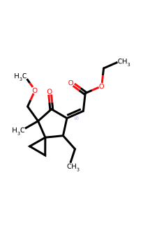 CCOC(=O)/C=C1\C(=O)C(C)(COC)C2(CC2)C1CC